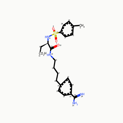 Cc1ccc(S(=O)(=O)N[C@H](CC(=O)O)C(=O)NCCCCc2ccc(C(=N)N)cc2)cc1